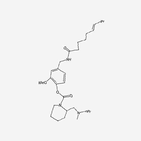 CCCN(C)CC1CCCCN1C(=O)Oc1ccc(CNC(=O)CCCC/C=C/C(C)C)cc1OC